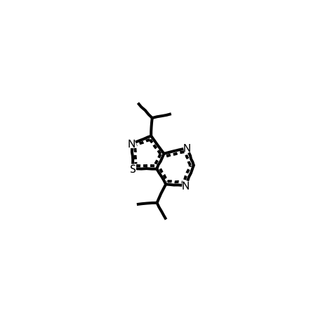 CC(C)c1nsc2c(C(C)C)ncnc12